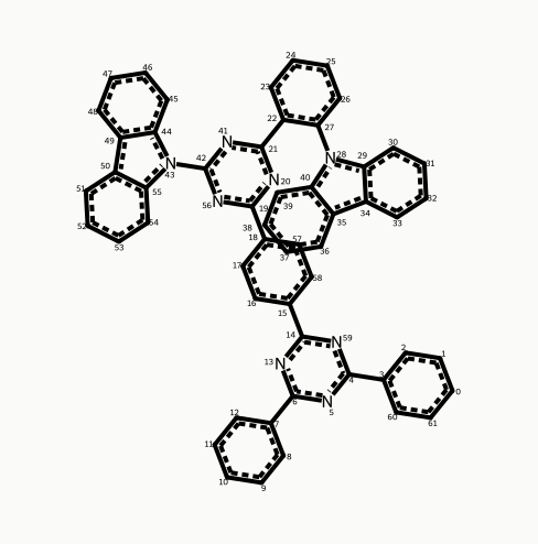 c1ccc(-c2nc(-c3ccccc3)nc(-c3ccc(-c4nc(-c5ccccc5-n5c6ccccc6c6ccccc65)nc(-n5c6ccccc6c6ccccc65)n4)cc3)n2)cc1